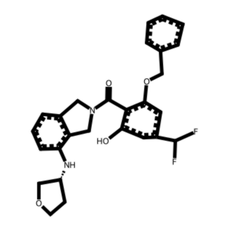 O=C(c1c(O)cc(C(F)F)cc1OCc1ccccc1)N1Cc2cccc(N[C@@H]3CCOC3)c2C1